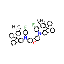 C=Cc1ccc(C2(C3CC=CCC3)C3=C(C=CCC3)c3ccc(N(C4=CC5c6cc(N(c7ccc(F)cc7)c7ccc8c(c7)C(c7ccc(C=C)cc7)(C7CC=CCC7)c7ccccc7-8)ccc6OC5CC4)c4ccc(F)cc4)cc32)cc1